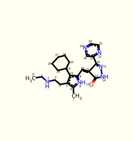 CCNCCc1c(C)[nH]c(C=C2C(=O)NN=C2c2cnccn2)c1C1CCCCC1